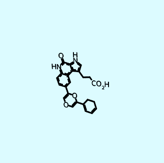 O=C(O)CCc1c[nH]c2c(=O)[nH]c3ccc(C4=COC=C(C5=CC=CCC5)O4)cc3c12